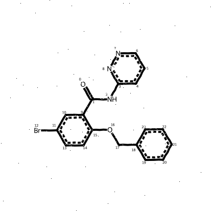 O=C(Nc1cccnn1)c1cc(Br)ccc1OCc1ccccc1